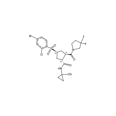 N#CC1(NC(=O)[C@@H]2C[C@@H](S(=O)(=O)c3ccc(Br)cc3Cl)C[C@H]2C(=O)N2CCC(F)(F)C2)CC1